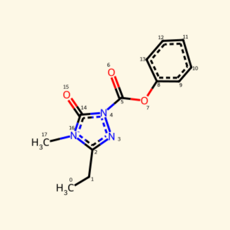 CCc1nn(C(=O)Oc2ccccc2)c(=O)n1C